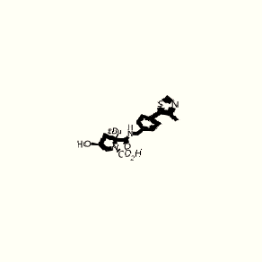 Cc1ncsc1-c1ccc(CNC(=O)[C@@]2(C(C)(C)C)C[C@H](O)CN2C(=O)O)cc1